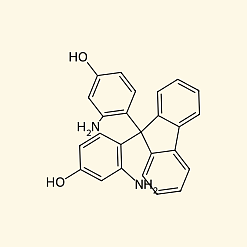 Nc1cc(O)ccc1C1(c2ccc(O)cc2N)c2ccccc2-c2ccccc21